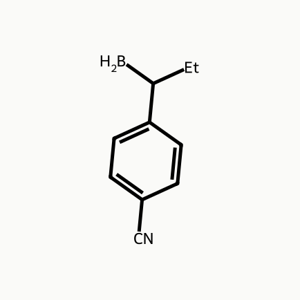 BC(CC)c1ccc(C#N)cc1